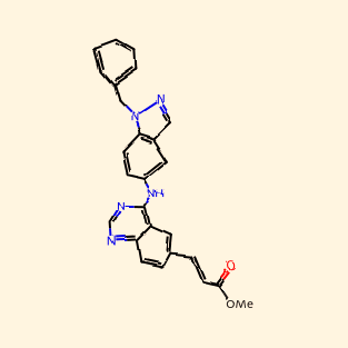 COC(=O)C=Cc1ccc2ncnc(Nc3ccc4c(cnn4Cc4ccccc4)c3)c2c1